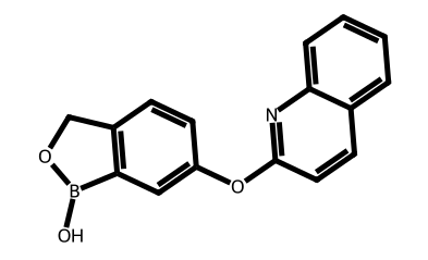 OB1OCc2ccc(Oc3ccc4ccccc4n3)cc21